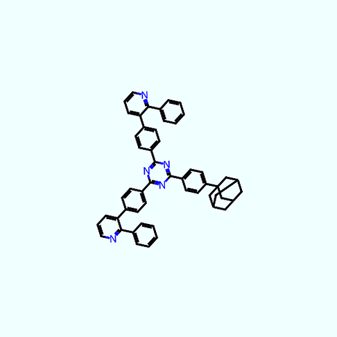 c1ccc(-c2ncccc2-c2ccc(-c3nc(-c4ccc(-c5cccnc5-c5ccccc5)cc4)nc(-c4ccc(C56CC7CC(CC(C7)C5)C6)cc4)n3)cc2)cc1